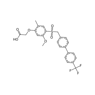 COc1cc(OCC(=O)O)c(C)cc1S(=O)(=O)Cc1ccc(-c2ccc(C(F)(F)F)cc2)cc1